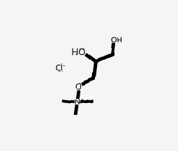 C[N+](C)(C)OCC(O)CO.[Cl-]